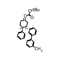 Cc1cccc(-c2cccc([C@H]3CN(OC(=O)OC(C)(C)C)CC[C@@H]3c3ccccc3)c2)c1